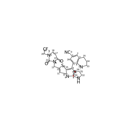 N#Cc1cc2c(c(-c3ncnc4cc(Cn5c(=O)ccn(CC(F)(F)F)c5=O)sc34)c1)N([C@H]1CCNC1)CCC2